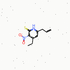 C=CCc1cc(CC)c([N+](=O)[O-])c(=S)[nH]1